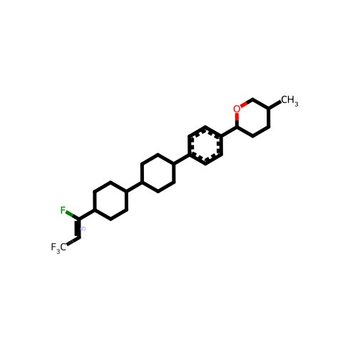 CC1CCC(c2ccc(C3CCC(C4CCC(/C(F)=C/C(F)(F)F)CC4)CC3)cc2)OC1